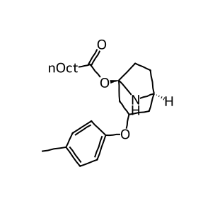 CCCCCCCCC(=O)O[C@]12CC[C@@H](CC(Oc3ccc(C)cc3)C1)N2